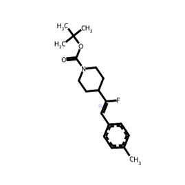 Cc1ccc(/C=C(\F)C2CCN(C(=O)OC(C)(C)C)CC2)cc1